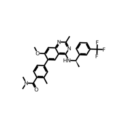 COc1cc2nc(C)nc(N[C@H](C)c3cccc(C(F)(F)F)c3)c2cc1-c1ccc(C(=O)N(C)C)c(C)c1